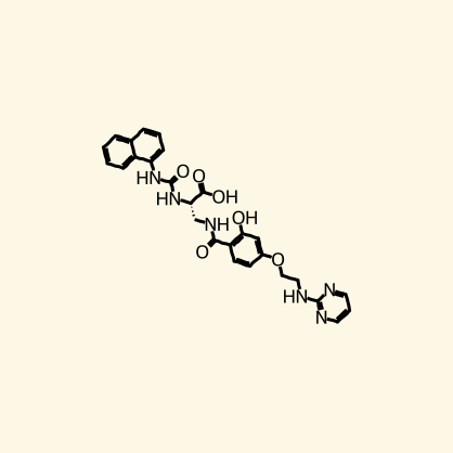 O=C(Nc1cccc2ccccc12)N[C@@H](CNC(=O)c1ccc(OCCNc2ncccn2)cc1O)C(=O)O